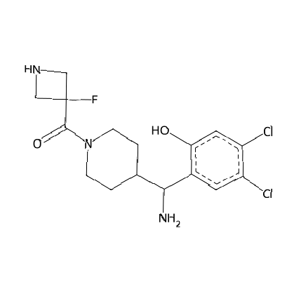 NC(c1cc(Cl)c(Cl)cc1O)C1CCN(C(=O)C2(F)CNC2)CC1